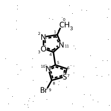 Cc1noc(-c2csc(Br)n2)n1